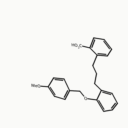 COc1ccc(COc2ccccc2CCCc2ccccc2C(=O)O)cc1